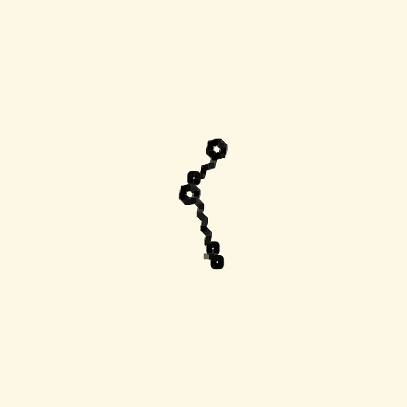 O=[C]OCCCCCCc1cccc(OCCCc2ccccc2)c1